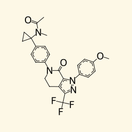 COc1ccc(-n2nc(C(F)(F)F)c3c2C(=O)N(c2ccc(C4(N(C)C(C)=O)CC4)cc2)CC3)cc1